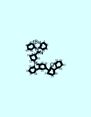 CC(C)(C)c1cccc2nc(-c3cccc(-n4c5ccccc5c5cc(-c6cccc7c6oc6ccccc67)ccc54)c3)n(-c3ccccc3)c12